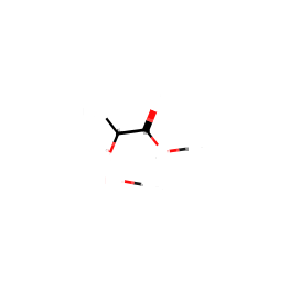 CCCCO.CCCOC(=O)C(C)O